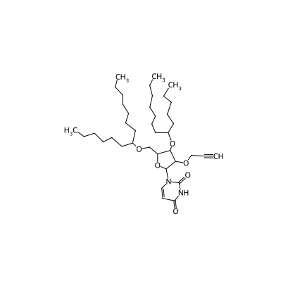 C#CCOC1C(OC(CCCCC)CCCCCCC)C(COC(CCCCCC)CCCCCCC)OC1n1ccc(=O)[nH]c1=O